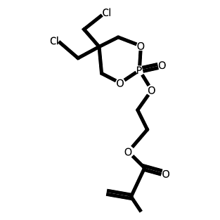 C=C(C)C(=O)OCCOP1(=O)OCC(CCl)(CCl)CO1